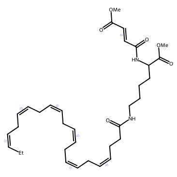 CC/C=C\C/C=C\C/C=C\C/C=C\C/C=C\C/C=C\CCC(=O)NCCCCC(NC(=O)/C=C/C(=O)OC)C(=O)OC